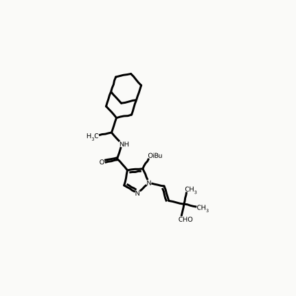 CC(C)COc1c(C(=O)NC(C)C2CC3CCCC(C3)C2)cnn1/C=C/C(C)(C)C=O